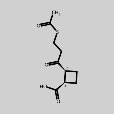 CC(=O)SCCC(=O)[C@H]1CC[C@H]1C(=O)O